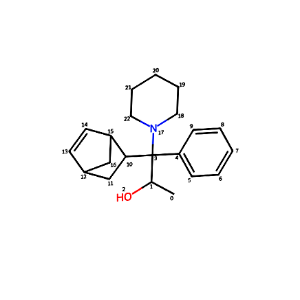 CC(O)C(c1ccccc1)(C1CC2C=CC1C2)N1CCCCC1